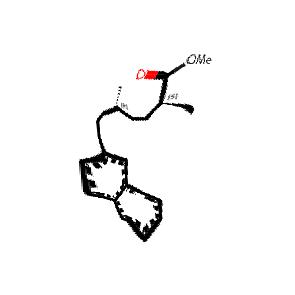 COC(=O)[C@@H](C)C[C@@H](C)Cc1ccc2ccccc2c1